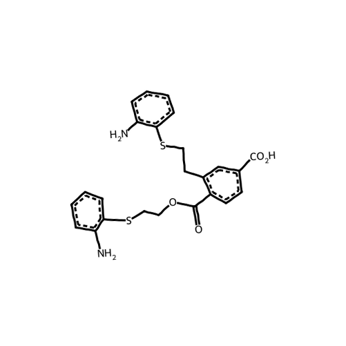 Nc1ccccc1SCCOC(=O)c1ccc(C(=O)O)cc1CCSc1ccccc1N